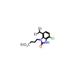 CCOC(=O)CCCn1c(=O)[nH]c2c(Cl)ccc(C(CC)CC)c21